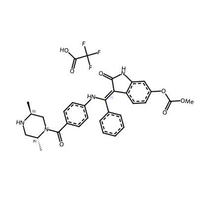 COC(=O)Oc1ccc2c(c1)NC(=O)/C2=C(\Nc1ccc(C(=O)N2C[C@H](C)NC[C@H]2C)cc1)c1ccccc1.O=C(O)C(F)(F)F